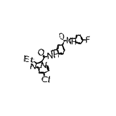 CCc1nc2cc(Cl)ccn2c1C(=O)NCc1cccc(C(=O)NCc2ccc(F)cc2)c1